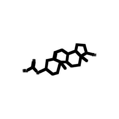 CC(=O)C1CCC2C3CC=C4CC(OC(=O)C(C)(C)C)CCC4(C)C3CCC12C